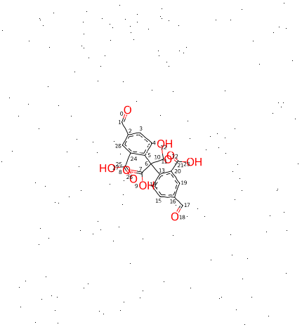 O=Cc1ccc(C(C(=O)O)(C(=O)O)c2ccc(C=O)cc2C(=O)O)c(C(=O)O)c1